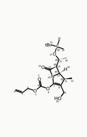 C=CCOC(=O)OC1=C(CO)[C@H](C)[C@@H]2[C@H]([C@@H](C)O[Si](C)(C)C(C)(C)C)C(=O)N12